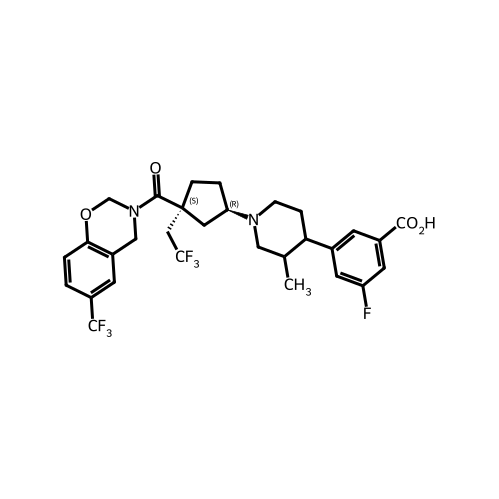 CC1CN([C@@H]2CC[C@](CC(F)(F)F)(C(=O)N3COc4ccc(C(F)(F)F)cc4C3)C2)CCC1c1cc(F)cc(C(=O)O)c1